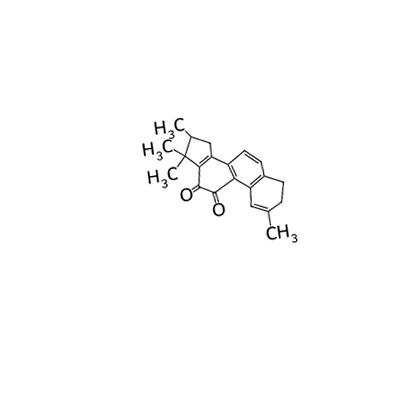 CC1=Cc2c(ccc3c2C(=O)C(=O)C2=C3CC(C)C2(C)C)CC1